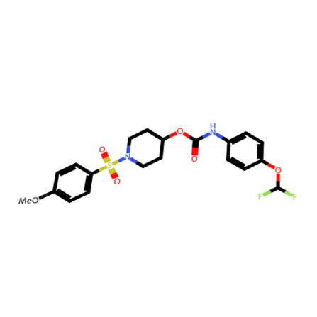 COc1ccc(S(=O)(=O)N2CCC(OC(=O)Nc3ccc(OC(F)F)cc3)CC2)cc1